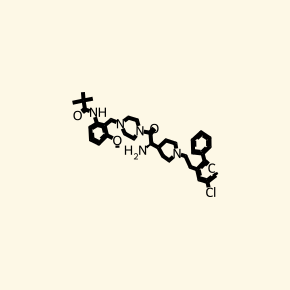 COc1cccc(NC(=O)C(C)(C)C)c1CN1CCN(C(=O)[C@H](N)C2CCN(CCc3cc(Cl)ccc3-c3ccccc3)CC2)CC1